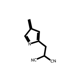 C=C1C=NC(CC(C#N)C#N)=C1